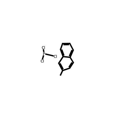 Cc1ccc2ccccc2c1.ClP(Cl)Cl